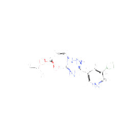 CC(C)OC(=O)/C=C\n1cnc(-c2cncc(Cl)c2)n1